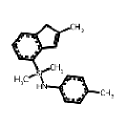 CC1=Cc2c(cccc2[Si](C)(C)Nc2ccc(C)cc2)C1